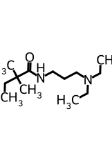 CCN(CC)CCCNC(=O)C(C)(C)CC